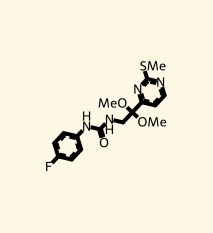 COC(CNC(=O)Nc1ccc(F)cc1)(OC)c1ccnc(SC)n1